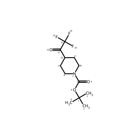 CC(C)(C)OC(=O)N1CCC(C(=O)C(F)(F)F)CC1